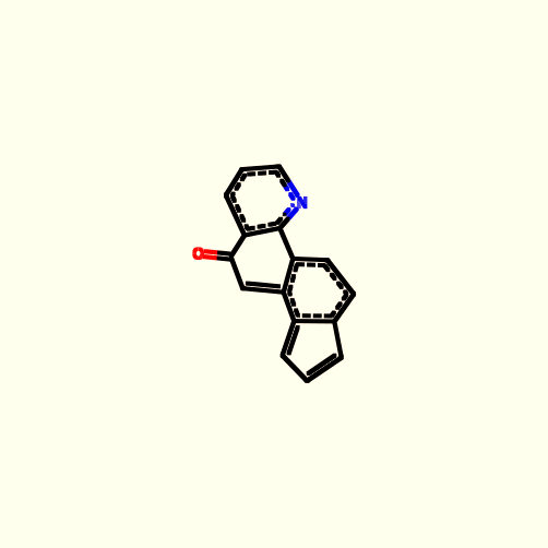 O=C1C=c2c(ccc3c2=CC=C3)-c2ncccc21